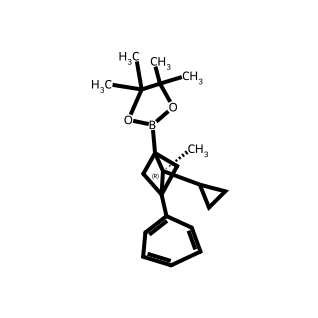 CC1(C)OB(C23CC(c4ccccc4)(C2)[C@]3(C)C2CC2)OC1(C)C